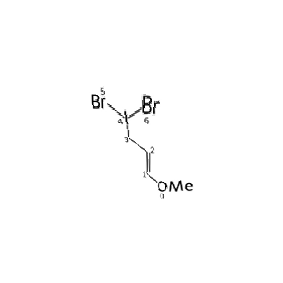 COC=CCI(Br)Br